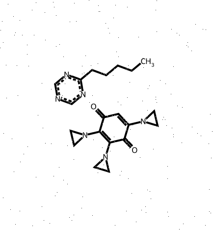 CCCCCc1ncncn1.O=C1C=C(N2CC2)C(=O)C(N2CC2)=C1N1CC1